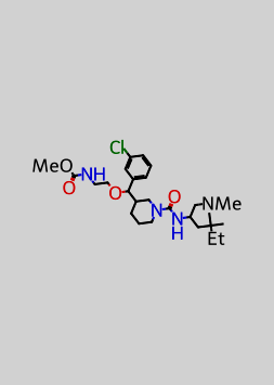 CCC(C)(C)CC(CNC)NC(=O)N1CCCC(C(OCCNC(=O)OC)c2cccc(Cl)c2)C1